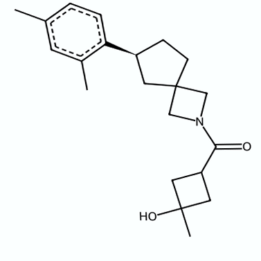 Cc1ccc([C@H]2CCC3(C2)CN(C(=O)C2CC(C)(O)C2)C3)c(C)c1